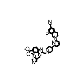 CCn1cncc1Cn1c(CN2CCC(c3cccc(N4CCc5cc(C#N)cc(F)c5C4)n3)CC2)nc2ccc(C(=O)OC)cc21